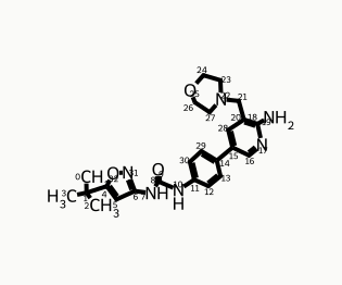 CC(C)(C)c1cc(NC(=O)Nc2ccc(-c3cnc(N)c(CN4CCOCC4)c3)cc2)no1